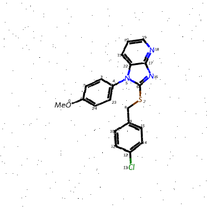 COc1ccc(-n2c(SCc3ccc(Cl)cc3)nc3ncccc32)cc1